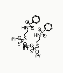 CC(C)OP(=S)(OC(C)C)SCCNS(=O)(=O)c1ccccc1.CC(C)OP(=S)(OC(C)C)SCCNS(=O)(=O)c1ccccc1